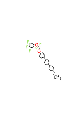 CCCC1CCC(c2ccc(-c3ccc(OCC(F)(F)Oc4cc(F)c(F)c(F)c4)cc3)cc2)CC1